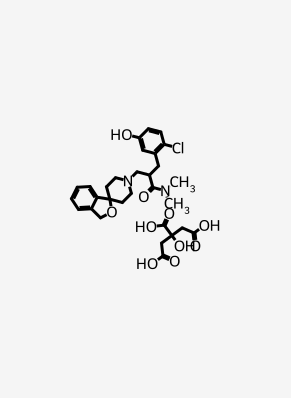 CN(C)C(=O)C(Cc1cc(O)ccc1Cl)CN1CCC2(CC1)OCc1ccccc12.O=C(O)CC(O)(CC(=O)O)C(=O)O